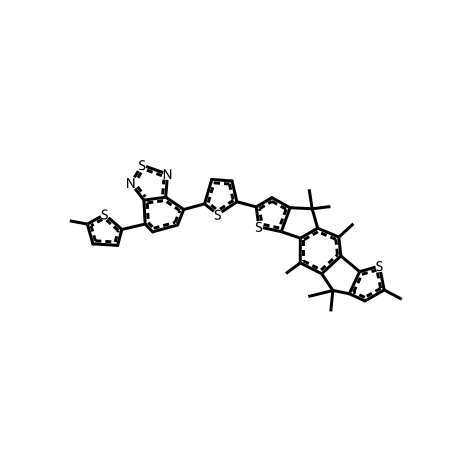 Cc1ccc(-c2ccc(-c3ccc(-c4cc5c(s4)-c4c(C)c6c(c(C)c4C5(C)C)-c4sc(C)cc4C6(C)C)s3)c3nsnc23)s1